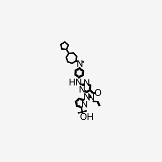 C=CCn1c(=O)c2cnc(Nc3ccc(N(C)C4CCCC(C5CCCC5)CC4)cc3)nc2n1-c1cccc(C(C)(C)O)n1